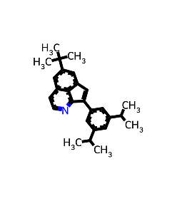 CC(C)c1cc(C2=Cc3cc(C(C)(C)C)cc4ccnc2c34)cc(C(C)C)c1